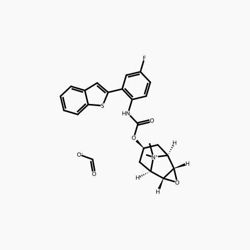 C[N+]1(C)[C@@H]2C[C@@H](OC(=O)Nc3ccc(F)cc3-c3cc4ccccc4s3)C[C@H]1[C@@H]1O[C@@H]12.O=C[O-]